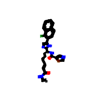 CNC(=O)CCCCC[C@H](NC(=O)c1cncs1)c1ncc(-c2ccc3ccccc3c2F)[nH]1